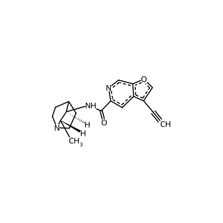 C#Cc1coc2cnc(C(=O)N[C@@H]3C4CCN(CC4)[C@H]3C)cc12